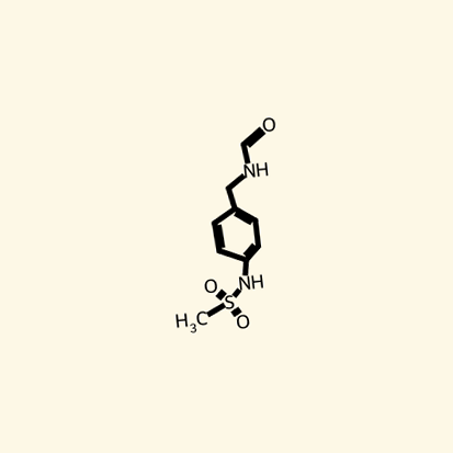 CS(=O)(=O)Nc1ccc(CNC=O)cc1